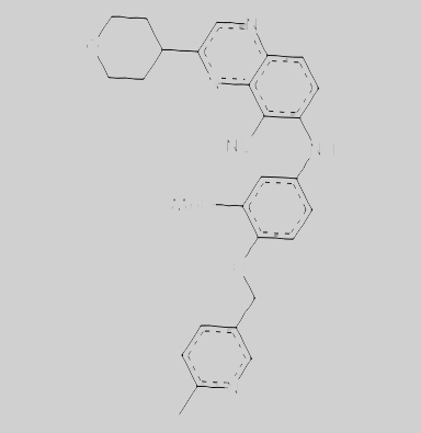 COc1cc(Nc2ccc3ncc(C4CCOCC4)nc3c2C#N)ccc1OCc1ccc(C)nc1